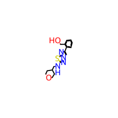 OCc1ccccc1-c1cn2nc(NCC3CCOCC3)sc2n1